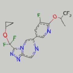 CC(Oc1ncc(-c2cn3c(C(F)(F)OC4CC4)nnc3cn2)cc1F)C(F)(F)F